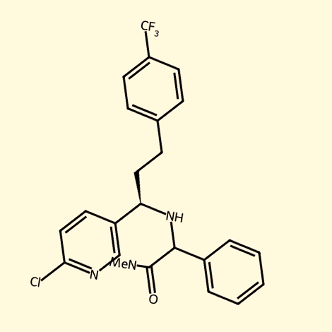 CNC(=O)C(N[C@H](CCc1ccc(C(F)(F)F)cc1)c1ccc(Cl)nc1)c1ccccc1